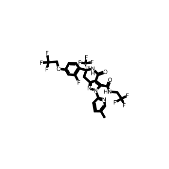 Cc1ccc(-n2nc3c(c2C(=O)NCC(F)(F)F)C(=O)N[C@@](c2ccc(OCC(F)(F)F)cc2F)(C(F)(F)F)C3)nc1